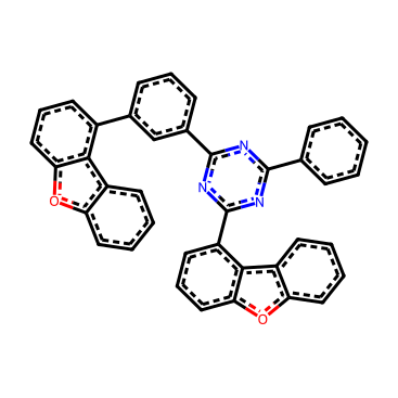 c1ccc(-c2nc(-c3cccc(-c4cccc5oc6ccccc6c45)c3)nc(-c3cccc4oc5ccccc5c34)n2)cc1